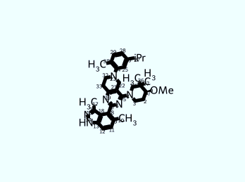 CO[C@H]1CCN(c2nc(-c3c(C)ccc4[nH]nc(C)c34)nc3c2CN(c2cc(C(C)C)ccc2C)CC3)CC1(C)C